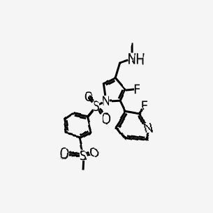 CNCc1cn(S(=O)(=O)c2cccc(S(C)(=O)=O)c2)c(-c2cccnc2F)c1F